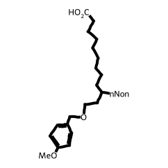 CCCCCCCCCC(CCCCCCCCC(=O)O)CCOCc1ccc(OC)cc1